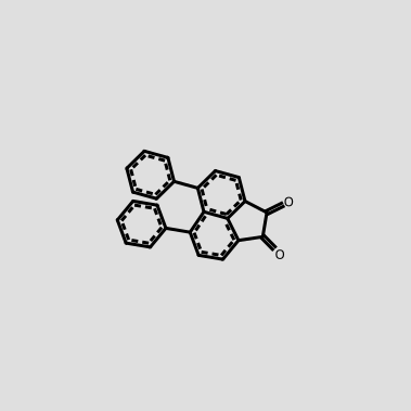 O=C1C(=O)c2ccc(-c3ccccc3)c3c(-c4ccccc4)ccc1c23